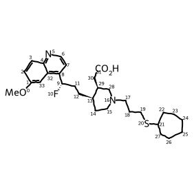 COc1ccc2nccc([C@@H](F)CC[C@@H]3CCN(CCCSC4CCCCCC4)C[C@@H]3CC(=O)O)c2c1